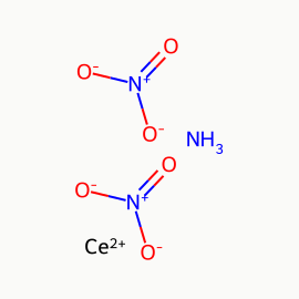 N.O=[N+]([O-])[O-].O=[N+]([O-])[O-].[Ce+2]